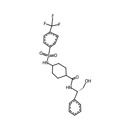 O=C(N[C@H](CO)c1ccccc1)C1CCC(NS(=O)(=O)c2ccc(C(F)(F)F)cc2)CC1